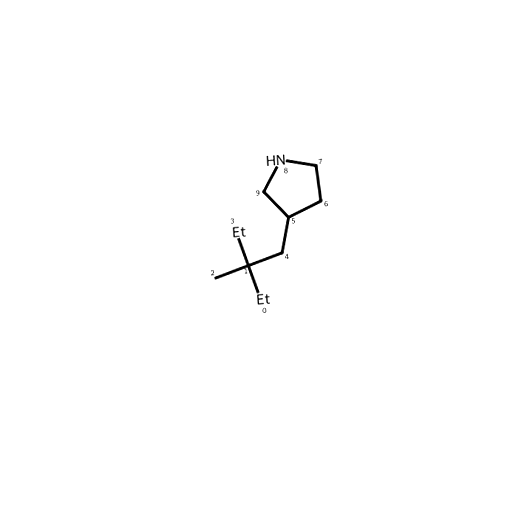 CCC(C)(CC)CC1CCNC1